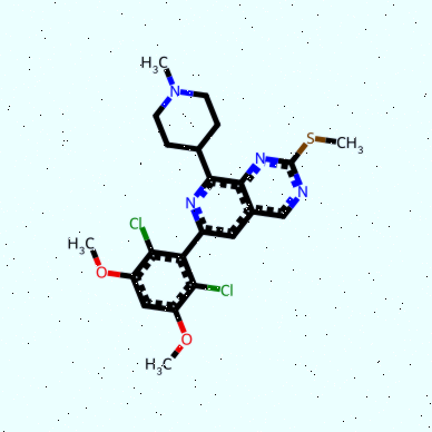 COc1cc(OC)c(Cl)c(-c2cc3cnc(SC)nc3c(C3CCN(C)CC3)n2)c1Cl